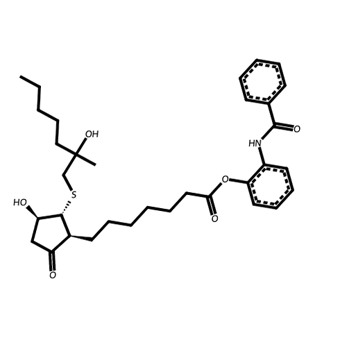 CCCCCC(C)(O)CS[C@H]1[C@H](O)CC(=O)[C@@H]1CCCCCCC(=O)Oc1ccccc1NC(=O)c1ccccc1